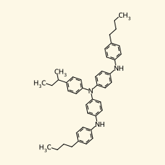 CCCCc1ccc(Nc2ccc(N(c3ccc(Nc4ccc(CCCC)cc4)cc3)c3ccc(C(C)CC)cc3)cc2)cc1